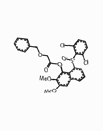 COc1cc2cccc([S+]([O-])c3c(Cl)cccc3Cl)c2c(OC(=O)COCc2ccccc2)c1OC